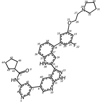 O=C(Nc1cncc(-c2cnc3[nH]nc(-c4cc5c(-c6cc(F)cc(OCCN7CCCC7)c6)cccc5[nH]4)c3c2)c1)C1CCCC1